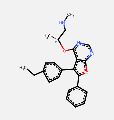 CCc1ccc(-c2c(-c3ccccc3)oc3ncnc(O[C@H](C)CNC)c23)cc1